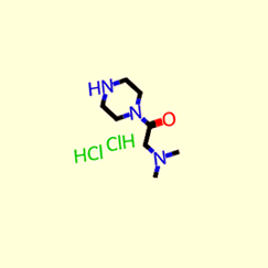 CN(C)CC(=O)N1CCNCC1.Cl.Cl